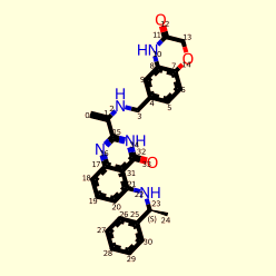 C=C(NCc1ccc2c(c1)NC(=O)CO2)c1nc2cccc(N[C@@H](C)c3ccccc3)c2c(=O)[nH]1